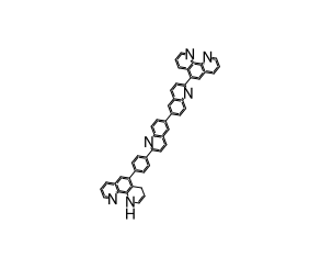 C1=CNc2c(c(-c3ccc(-c4ccc5cc(-c6ccc7nc(-c8cc9cccnc9c9ncccc89)ccc7c6)ccc5n4)cc3)cc3cccnc23)C1